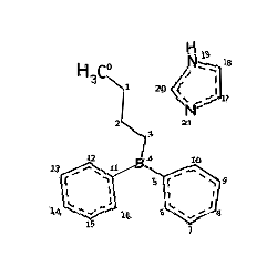 CCCCB(c1ccccc1)c1ccccc1.c1c[nH]cn1